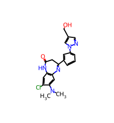 CN(C)c1cc2c(cc1Cl)NC(=O)CC(c1cccc(-n3cc(CO)cn3)c1)=N2